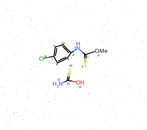 COC(=S)Nc1ccc(Cl)cc1.NC(O)=S